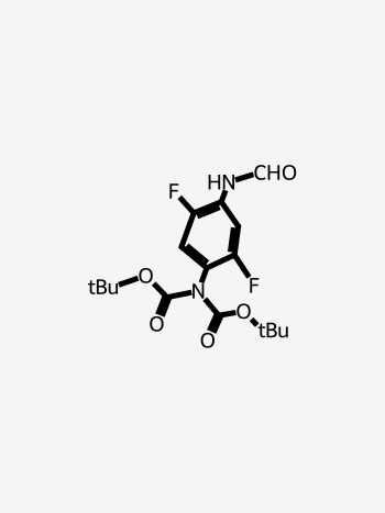 CC(C)(C)OC(=O)N(C(=O)OC(C)(C)C)c1cc(F)c(NC=O)cc1F